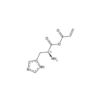 C=CC(=O)OC(=O)[C@@H](N)Cc1cnc[nH]1